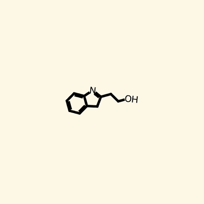 OCCC1=Nc2ccccc2C1